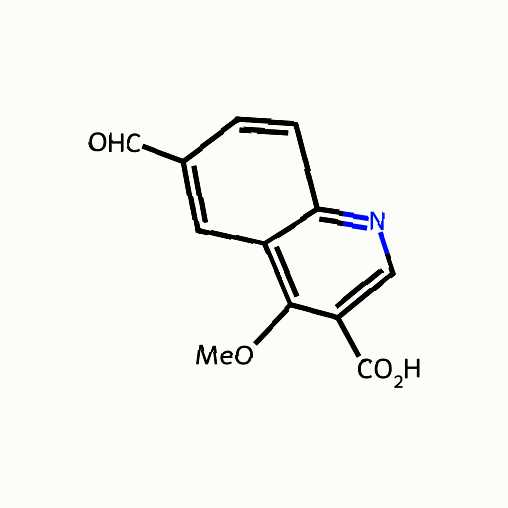 COc1c(C(=O)O)cnc2ccc(C=O)cc12